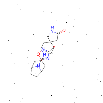 Cc1noc(N2C3CCC2CC(N2CCC4(CC2)CNC(=O)C4)C3)n1